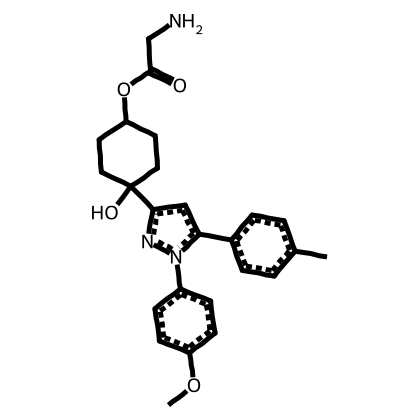 COc1ccc(-n2nc(C3(O)CCC(OC(=O)CN)CC3)cc2-c2ccc(C)cc2)cc1